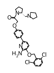 Nc1nc(-c2ccc(OCC(=O)N3CCC[C@@H]3CN3CCCC3)cc2)ccc1OCc1c(Cl)cccc1Cl